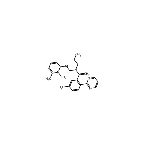 C=C(c1cc(C)ccc1-c1ncccn1)N(CCC)CNC1C=CN=C(C)N1C